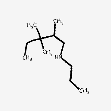 CCCNCC(C)C(C)(C)CC